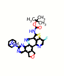 CN1C2CC1CN(c1ncc3c4c(c(-c5ncc(F)c6sc(NC(=O)OC(C)(C)C)c(C#N)c56)c(F)c3n1)COC4)C2